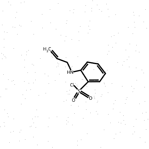 C=CCNc1ccccc1S(=O)(=O)Cl